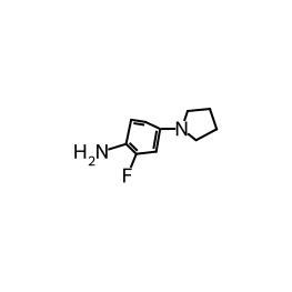 Nc1ccc(N2CCCC2)cc1F